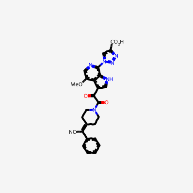 COc1cnc(-n2cc(C(=O)O)nn2)c2[nH]cc(C(=O)C(=O)N3CCC(=C(C#N)c4ccccc4)CC3)c12